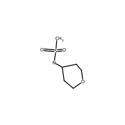 CS(=O)(=O)[N]C1CCOCC1